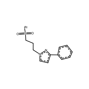 CC(C)S(=O)(=O)CCCn1ccc(-c2ccccc2)n1